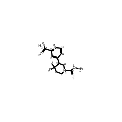 CC(C)(C)OC(=O)N1CCC(F)(F)C(c2ccnc(C(N)=O)c2)C1